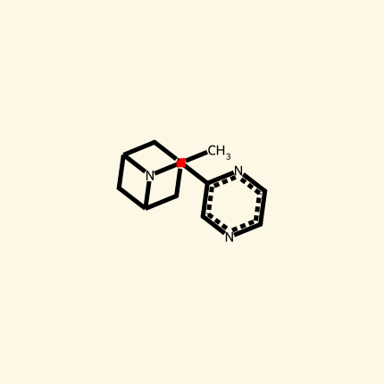 CN1CC2CC(C1)N2Cc1cnccn1